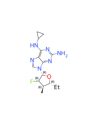 CC[C@H]1O[C@@H](n2cnc3c(NC4CC4)nc(N)nc32)[C@H](F)[C@@H]1C